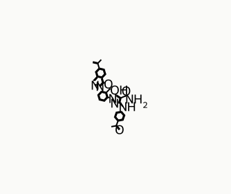 C=C(C)c1ccc2c(=O)n(-c3cccc(-n4cc(C(N)=O)c(Nc5ccc(C(C)=O)cc5)n4)c3CO)ncc2c1